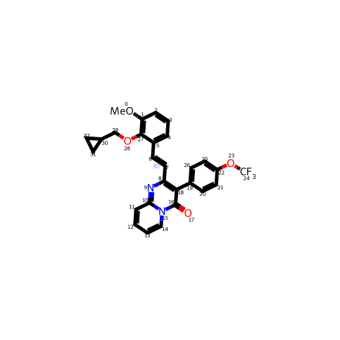 COc1cccc(/C=C/c2nc3ccccn3c(=O)c2-c2ccc(OC(F)(F)F)cc2)c1OCC1CC1